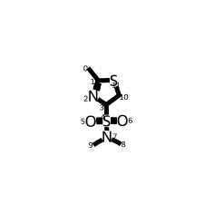 CC1=NC(S(=O)(=O)N(C)C)CS1